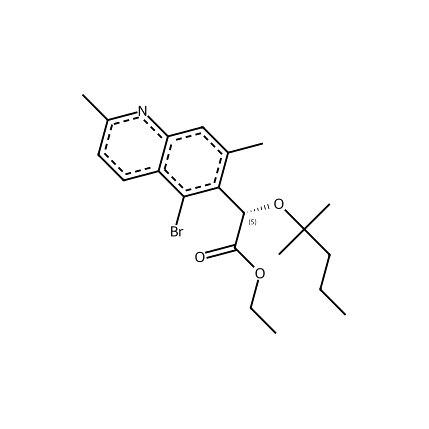 CCCC(C)(C)O[C@H](C(=O)OCC)c1c(C)cc2nc(C)ccc2c1Br